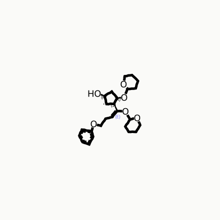 O[C@@H]1[CH][C@H](/C(=C\CCOc2ccccc2)OC2CCCCO2)[C@H](OC2CCCCO2)C1